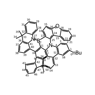 CCCCc1ccc(N2c3cc4c(c5c3B(c3ccc6oc7ccccc7c6c32)N2c3ccccc3C(C)(C)c3cccc-5c32)-c2ccccc2C4(C)C)c(-c2ccccc2)c1